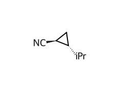 CC(C)[C@H]1C[C@@H]1C#N